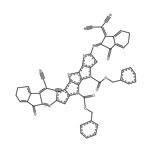 N#CC(C#N)=C1C2=CCCC=C2C(=O)/C1=N\c1cc2c(s1)c1sc3c4sc(/N=C5/C(=O)C6=CCCC=C6C5=C(C#N)C#N)cc4n(C(=O)OCc4ccccc4)c3c1n2C(=O)OCc1ccccc1